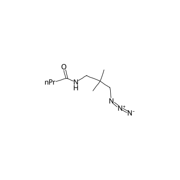 CCCC(=O)NCC(C)(C)CN=[N+]=[N-]